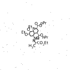 CCCOC(=O)c1cc(C(=O)OCCC)c2c(N/N=C(/C)C(=O)OCC)cc(OCC)c(OCC)c2n1